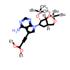 CCOC(C#Cc1cn([C@@H]2C[C@@H]3CO[Si](C(C)(C)C)(C(C)(C)C)O[C@H]3[C@H]2O[Si](C)(C)C(C)(C)C)c2ncnc(N)c12)OCC